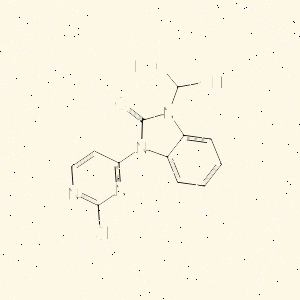 CC(C)n1c(=O)n(-c2ccnc(Cl)n2)c2ccccc21